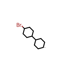 BrC1CCC(C2CC[CH]CC2)CC1